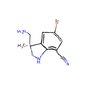 C[C@@]1(CN)CNc2c(C#N)cc(Br)cc21